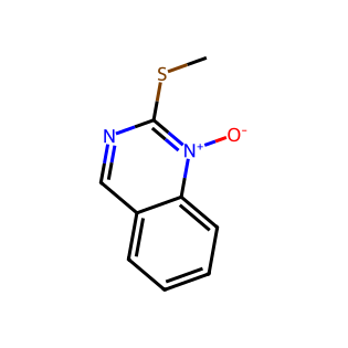 CSc1ncc2ccccc2[n+]1[O-]